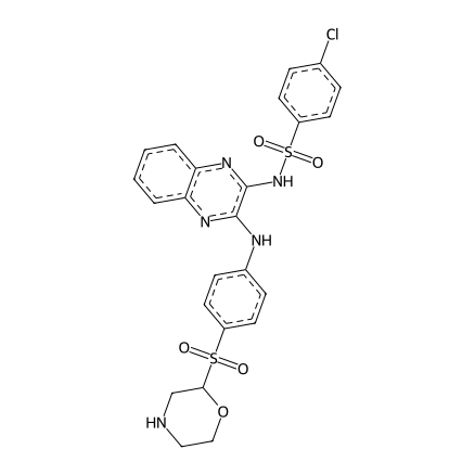 O=S(=O)(Nc1nc2ccccc2nc1Nc1ccc(S(=O)(=O)C2CNCCO2)cc1)c1ccc(Cl)cc1